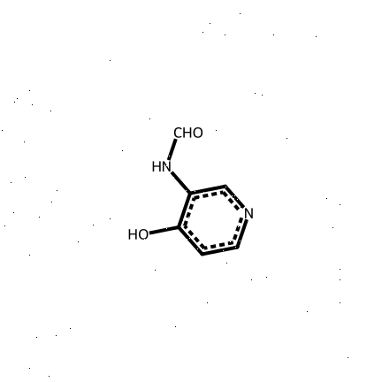 O=CNc1cnccc1O